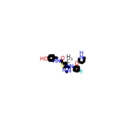 Cc1c(C(=O)NCc2ccc(O)cc2)sc2ncnc(Nc3ccc(F)cc3OC3CCCNC3)c12